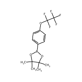 CC1(C)OB(c2ccc(OC(F)(F)C(F)(F)F)cc2)OC1(C)C